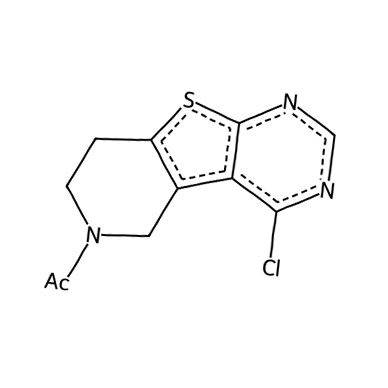 CC(=O)N1CCc2sc3ncnc(Cl)c3c2C1